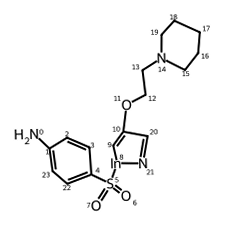 Nc1ccc([S](=O)(=O)[In]2[CH]=C(OCCN3CCCCC3)C=[N]2)cc1